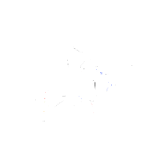 CCc1ncc(C(=O)NC/C=C/S(C)(=O)=O)c(Oc2ccccc2)n1